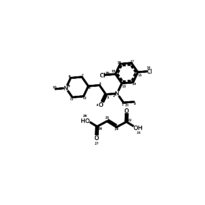 CCN(C(=O)CC1CCN(C)CC1)c1cc(Cl)ccc1Cl.O=C(O)/C=C/C(=O)O